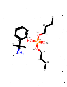 CC(C)(N)c1ccccc1.CCCCOP(=O)(O)OCCCC